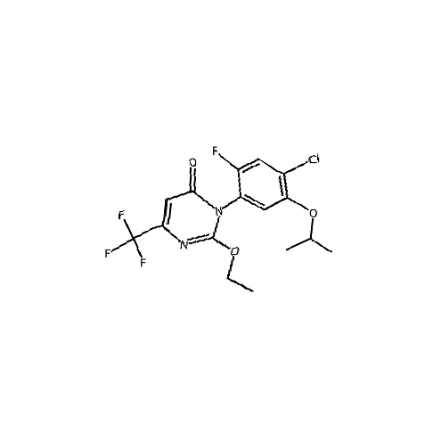 CCOc1nc(C(F)(F)F)cc(=O)n1-c1cc(OC(C)C)c(Cl)cc1F